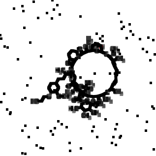 CO[C@H]1C[C@@H]2CC[C@@H](C)[C@@](O)(O2)C(=O)C(=O)N2CCCC[C@H]2C(=O)OC([C@H](C)CC[C@@H]2CC[C@@H](OCCO)[C@H](OC)C2)CC(=O)[C@H](C)/C=C(\C)[C@@H](OC(=O)[C@@H](C)[C@H](C)[C@@H](C)NC(=O)[C@H](CCCCN)NS(N)(=O)=O)[C@@H](OC)C(=O)[C@H](C)C[C@H](C)/C=C/C=C/C=C/1C